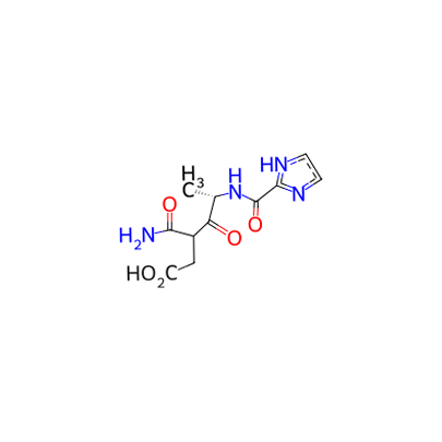 C[C@H](NC(=O)c1ncc[nH]1)C(=O)C(CC(=O)O)C(N)=O